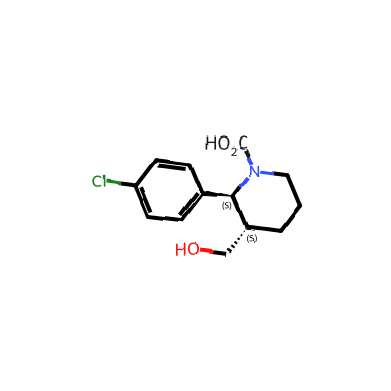 O=C(O)N1CCC[C@H](CO)[C@H]1c1ccc(Cl)cc1